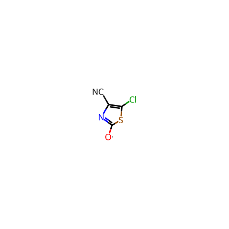 N#Cc1nc([O])sc1Cl